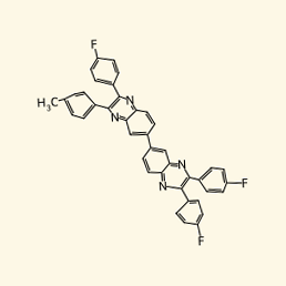 Cc1ccc(-c2nc3cc(-c4ccc5nc(-c6ccc(F)cc6)c(-c6ccc(F)cc6)nc5c4)ccc3nc2-c2ccc(F)cc2)cc1